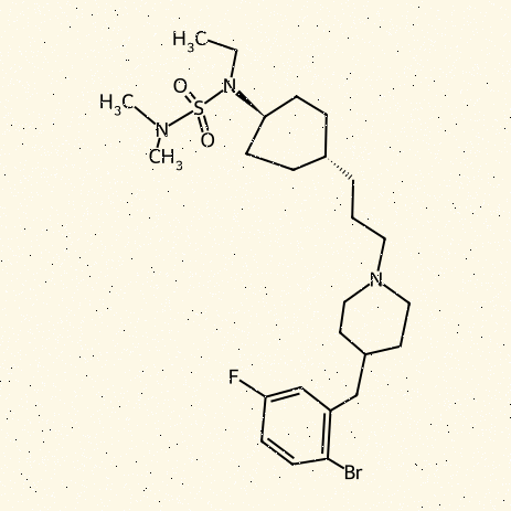 CCN([C@H]1CC[C@H](CCCN2CCC(Cc3cc(F)ccc3Br)CC2)CC1)S(=O)(=O)N(C)C